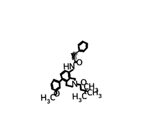 COc1cccc(-c2ccc(CNC(=O)[C@H]3C[C@H]3c3ccccc3)c3c2CCN(C(=O)CC(C)(C)C)C3)c1